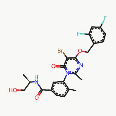 Cc1ccc(C(=O)N[C@H](C)CO)cc1-n1c(C)nc(OCc2ccc(F)cc2F)c(Br)c1=O